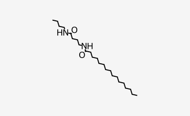 CCCCCCCCCCCCCCCC(=O)NCCCC(=O)NCCCC